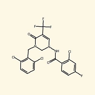 O=C(NN1C=C(C(F)(F)F)C(=O)N(Cc2c(Cl)cccc2Cl)C1)c1ccc(F)cc1Cl